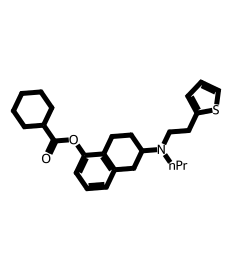 CCCN(CCc1cccs1)C1CCc2c(cccc2OC(=O)C2CCCCC2)C1